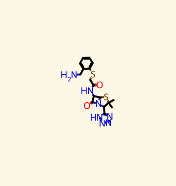 CC1(C)SC2C(NC(=O)CSc3ccccc3CN)C(=O)N2C1c1nnn[nH]1